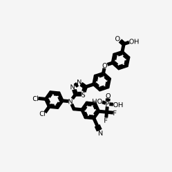 N#Cc1cc(CN(c2ccc(Cl)c(Cl)c2)c2nnc(-c3cccc(Oc4cccc(C(=O)O)c4)c3)s2)ccc1C(F)(F)P(=O)(O)O